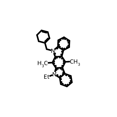 CCn1c2ccccc2c2c(C)c3c4ccccc4n(CC4=CC=CCC4)c3c(C)c21